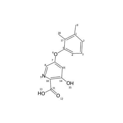 Cc1cccc(Oc2cnc(C(=O)O)c(O)c2)c1C